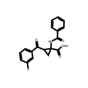 COC(=O)C1(NC(=O)c2ccccc2)CC1C(=O)c1cccc(F)c1